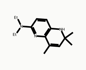 CCN(CC)c1ccc2c(n1)C(C)=CC(C)(C)N2